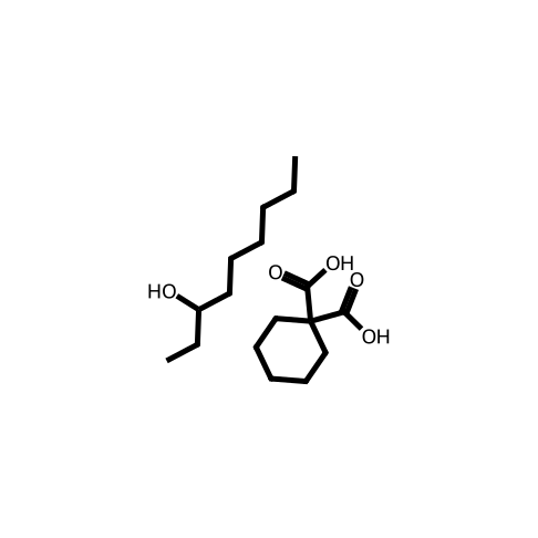 CCCCCCC(O)CC.O=C(O)C1(C(=O)O)CCCCC1